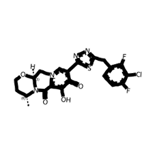 C[C@@H]1CCO[C@H]2Cn3cc(-c4nnc(Cc5ccc(F)c(Cl)c5F)s4)c(=O)c(O)c3C(=O)N12